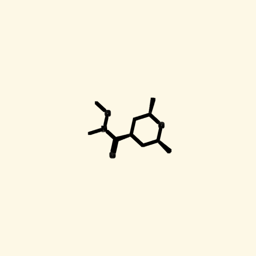 CON(C)C(=O)[C@H]1C[C@@H](C)O[C@@H](C)C1